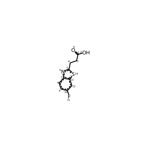 O=C(O)CCc1nc2ccc(F)cc2s1